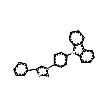 c1ccc(-c2cn(-c3ccc(-n4c5ccccc5c5ccccc54)cc3)nn2)cc1